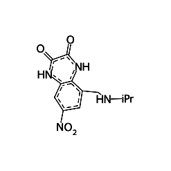 CC(C)NCc1cc([N+](=O)[O-])cc2[nH]c(=O)c(=O)[nH]c12